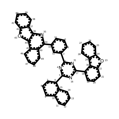 c1cc(-c2nc(-c3cccc4ccccc34)nc(-c3cccc4oc5ccccc5c34)n2)cc(-c2nc3c4ccccc4oc3c3ccccc23)c1